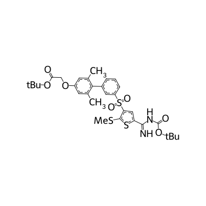 CSc1sc(C(=N)NC(=O)OC(C)(C)C)cc1S(=O)(=O)c1cccc(-c2c(C)cc(OCC(=O)OC(C)(C)C)cc2C)c1